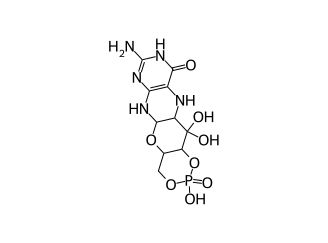 Nc1nc2c(c(=O)[nH]1)NC1C(N2)OC2COP(=O)(O)OC2C1(O)O